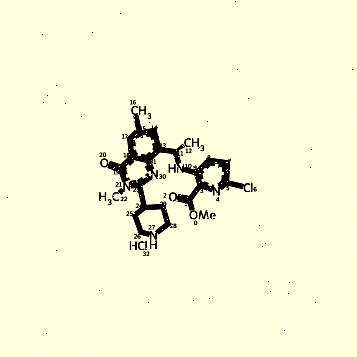 COC(=O)c1nc(Cl)ccc1N[C@H](C)c1cc(C)cc2c(=O)n(C)c(C3CCNCC3)nc12.Cl